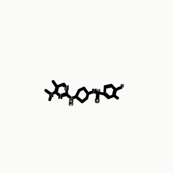 Cc1cc(C(=O)NC2CCC(Nc3ncc(C)c(N(C)C)n3)CC2)ccc1F